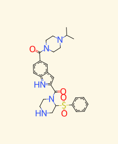 CC(C)N1CCN(C(=O)c2ccc3[nH]c(C(=O)N4CCNCC4S(=O)(=O)c4ccccc4)cc3c2)CC1